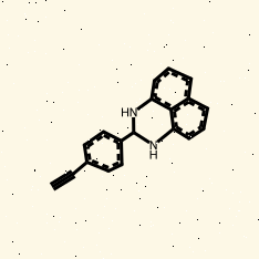 C#Cc1ccc(C2Nc3cccc4cccc(c34)N2)cc1